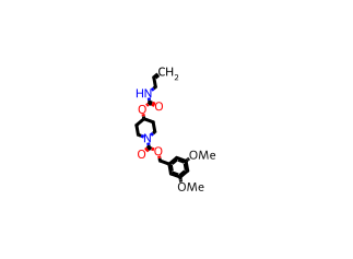 C=CCNC(=O)OC1CCN(C(=O)OCc2cc(OC)cc(OC)c2)CC1